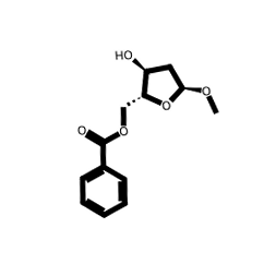 CO[C@@H]1C[C@H](O)[C@@H](COC(=O)c2ccccc2)O1